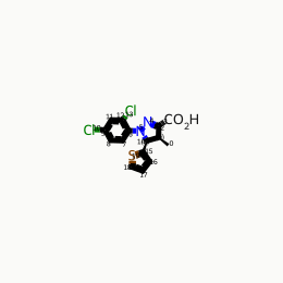 C[C@@H]1C(C(=O)O)=NN(c2ccc(Cl)cc2Cl)[C@@H]1c1cccs1